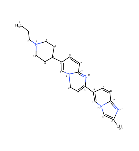 CCCN1CCC(C2=CN3CC=C(c4ccc5nc(C)cn5c4)N=C3C=C2)CC1